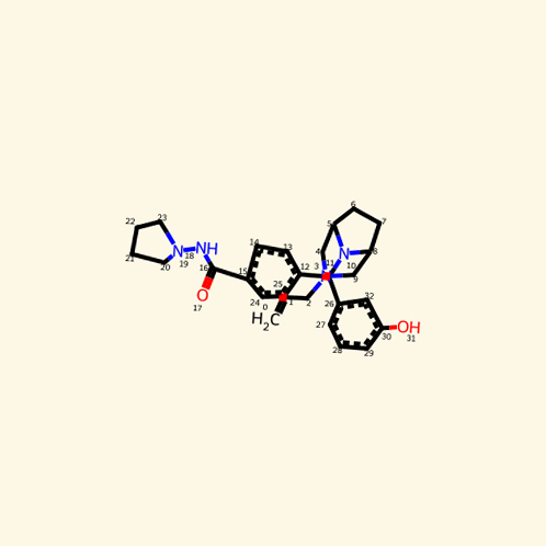 C=CCN1CC2CCC(C1)N2C(c1ccc(C(=O)NN2CCCC2)cc1)c1cccc(O)c1